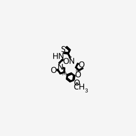 COc1ccc([C@@H]2CC(=O)N(CC(=O)Nc3sccc3C#N)C2)cc1O[C@@H]1CCOC1